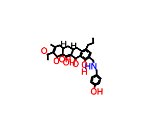 CCCc1cc(CNCc2ccc(O)cc2)c(O)c2c1C[C@H]1C[C@H]3CC(C)=C(C(C)=O)C(=O)[C@@]3(O)C(O)=C1C2=O